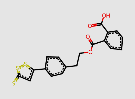 O=C(O)c1ccccc1C(=O)OCCc1ccc(-c2cc(=S)ss2)cc1